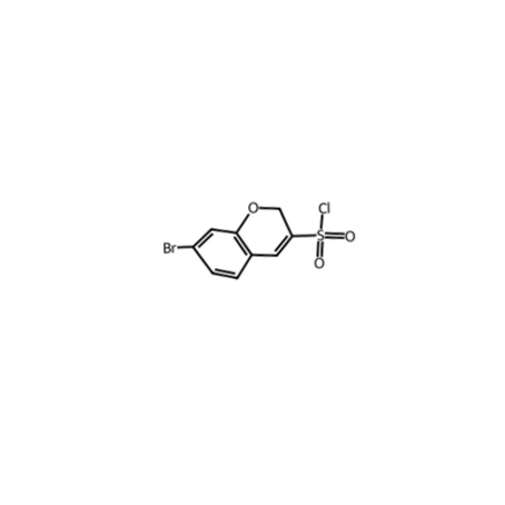 O=S(=O)(Cl)C1=Cc2ccc(Br)cc2OC1